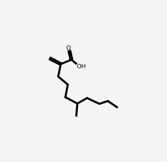 C=C(CCCC(C)CCCC)C(=O)O